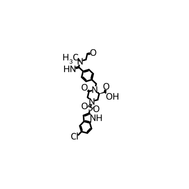 CN(CC=O)C(=N)c1ccc(CN2C(=O)CN(S(=O)(=O)c3cc4cc(Cl)ccc4[nH]3)C[C@@H]2C(=O)O)cc1